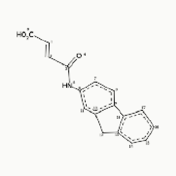 O=C(O)C=CC(=O)Nc1ccc2c(c1)Cc1ccccc1-2